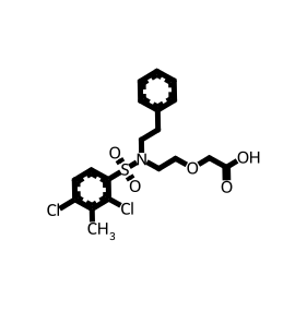 Cc1c(Cl)ccc(S(=O)(=O)N(CCOCC(=O)O)CCc2ccccc2)c1Cl